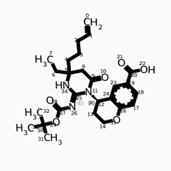 C=CCCCC1(CC)CC(=O)N([C@@H]2CCOc3ccc(C(=O)O)cc32)/C(=N/C(=O)OC(C)(C)C)N1